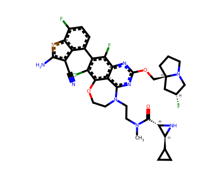 CN(CCN1CCOc2c(Cl)c(-c3ccc(F)c4sc(N)c(C#N)c34)c(F)c3nc(OC[C@@]45CCCN4C[C@H](F)C5)nc1c23)C(=O)[C@@H]1N[C@H]1C1CC1